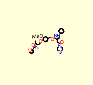 COc1cc(COc2nn(-c3ccccc3)cc2CC(=O)N2CCN(C)CC2)ccc1OCc1nc(-c2ccco2)oc1C